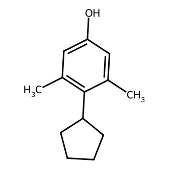 Cc1cc(O)cc(C)c1C1CCCC1